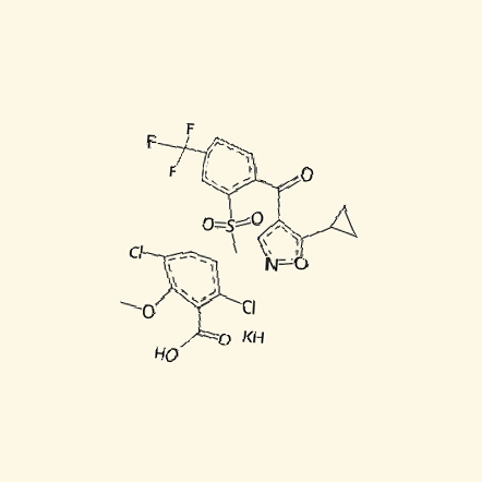 COc1c(Cl)ccc(Cl)c1C(=O)O.CS(=O)(=O)c1cc(C(F)(F)F)ccc1C(=O)c1cnoc1C1CC1.[KH]